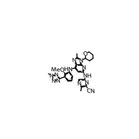 COc1c(Nc2cc(Nc3cnc(C)c(C#N)n3)nc3c2nc(C)n3C2CCCCO2)cccc1-c1nnn(C)n1